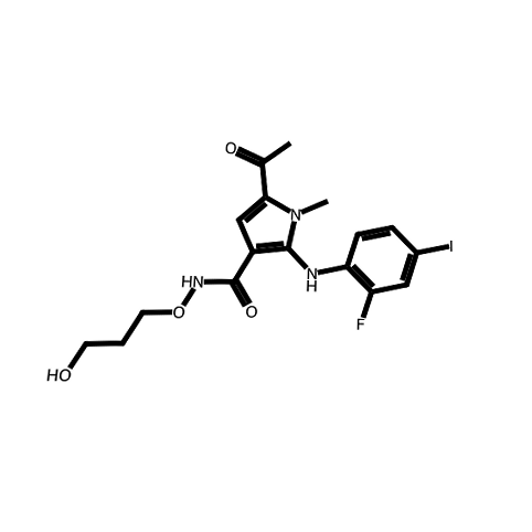 CC(=O)c1cc(C(=O)NOCCCO)c(Nc2ccc(I)cc2F)n1C